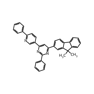 CC1(C)c2ccccc2-c2ccc(-c3cc(-c4ccc(-c5ccccc5)nc4)nc(-c4ccccc4)n3)cc21